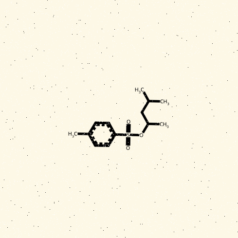 Cc1ccc(S(=O)(=O)OC(C)CC(C)C)cc1